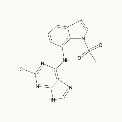 CS(=O)(=O)n1ccc2cccc(Nc3nc(Cl)nc4[nH]cnc34)c21